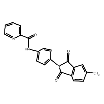 Cc1ccc2c(c1)C(=O)N(c1ccc(NC(=O)c3ccccn3)cc1)C2=O